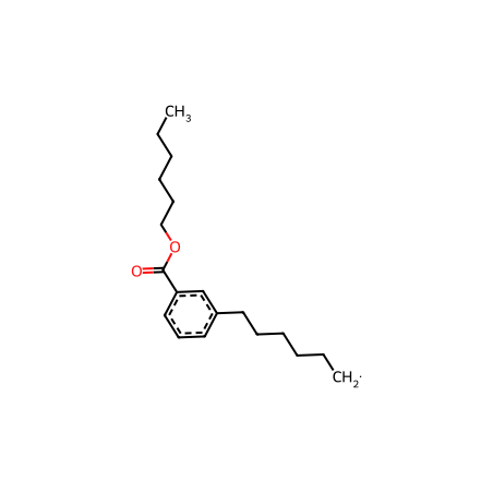 [CH2]CCCCCc1cccc(C(=O)OCCCCCC)c1